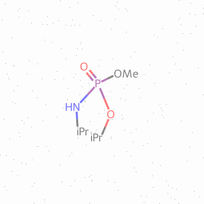 COP(=O)(NC(C)C)OC(C)C